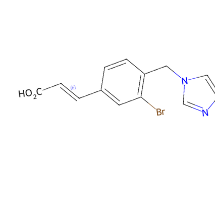 O=C(O)/C=C/c1ccc(Cn2ccnc2)c(Br)c1